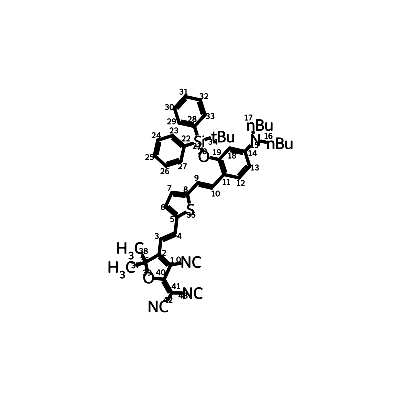 [C-]#[N+]C1=C(/C=C/c2ccc(/C=C/c3ccc(N(CCCC)CCCC)cc3O[Si](c3ccccc3)(c3ccccc3)C(C)(C)C)s2)C(C)(C)O/C1=C(\C#N)[N+]#[C-]